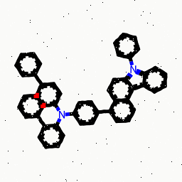 c1ccc(-c2ccc(N(c3ccc(-c4cccc5c4ccc4c5c5ccccc5n4-c4ccccc4)cc3)c3ccccc3-c3ccccc3)cc2)cc1